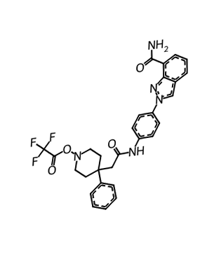 NC(=O)c1cccc2cn(-c3ccc(NC(=O)CC4(c5ccccc5)CCN(OC(=O)C(F)(F)F)CC4)cc3)nc12